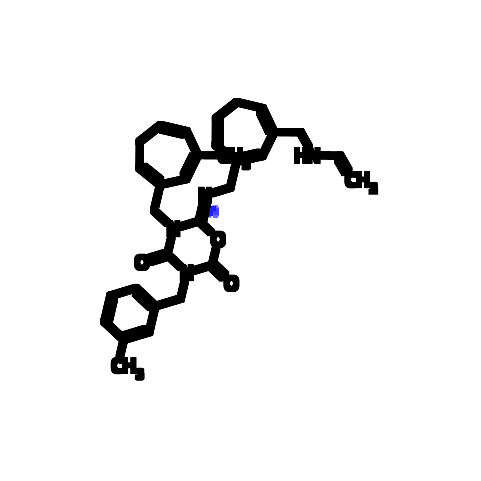 C=CNCC1=CCC=CC(C/N=c2\oc(=O)n(Cc3cccc(C)c3)c(=O)n2CC2=CCC=CC(C)=C2)=C1